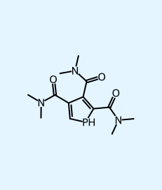 CN(C)C(=O)c1c[pH]c(C(=O)N(C)C)c1C(=O)N(C)C